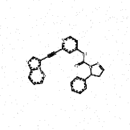 O=C(Nc1ccnc(C#Cc2cnc3cccnn23)c1)N1N=CCC1c1ccccc1